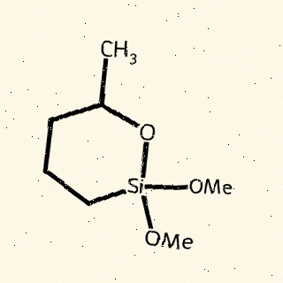 CO[Si]1(OC)CCCC(C)O1